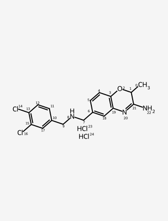 CC1Oc2ccc(CNCc3ccc(Cl)c(Cl)c3)cc2N=C1N.Cl.Cl